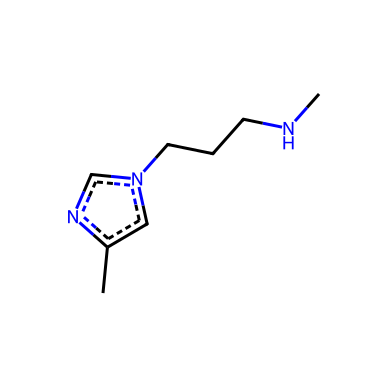 CNCCCn1cnc(C)c1